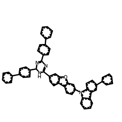 c1ccc(-c2ccc(C3=NC(c4ccc(-c5ccccc5)cc4)NC(c4ccc5c(c4)oc4cc(-n6c7ccccc7c7cc(-c8ccccc8)ccc76)ccc45)=N3)cc2)cc1